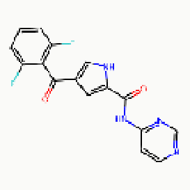 O=C(Nc1ccncn1)c1cc(C(=O)c2c(F)cccc2F)c[nH]1